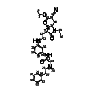 CCOC(=O)C(C#N)CC1SC(CCNc2cccc(NC(=O)CN(C)CCc3ccccc3)c2)C(=O)N1CC